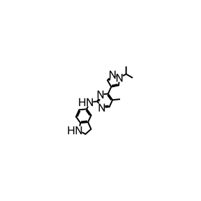 Cc1cnc(Nc2ccc3c(c2)CCN3)nc1-c1cnn(C(C)C)c1